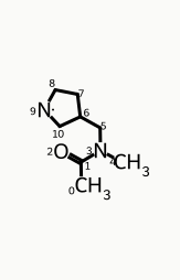 CC(=O)N(C)CC1CC[N]C1